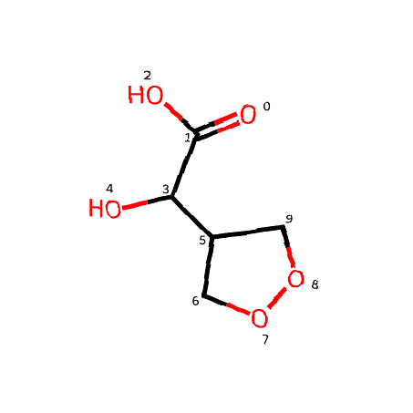 O=C(O)C(O)C1COOC1